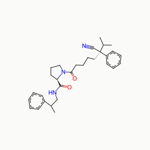 CC(CNC(=O)[C@H]1CCCN1C(=O)CCCC[C@@](C#N)(c1ccccc1)C(C)C)c1ccccc1